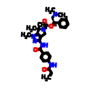 C=CC(=O)Nc1ccc(C(=O)Nc2nn(C)c3c2CN(C(=O)O[C@H](CN(C)C)c2ccccc2)C3(C)C)cc1